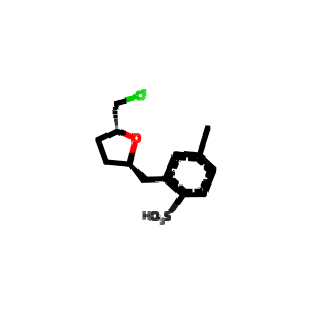 Cc1ccc(S(=O)(=O)O)c(C[C@H]2CC[C@H](CCl)O2)c1